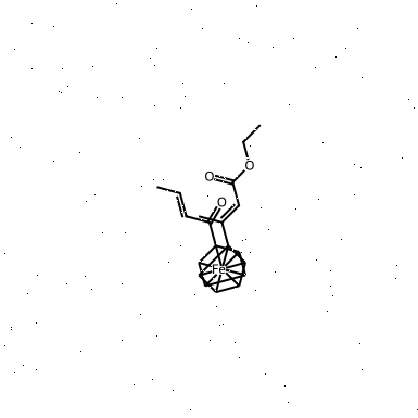 CC=CC(=O)[C]12[CH]3[CH]4[CH]5[CH]1[Fe]45321678[CH]2[CH]1[CH]6[C]7(C(C)=CC(=O)OCC)[CH]28